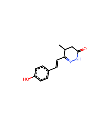 CC1CC(=O)NN=C1C=Cc1ccc(O)cc1